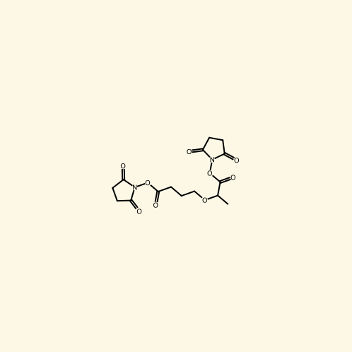 CC(OCCCC(=O)ON1C(=O)CCC1=O)C(=O)ON1C(=O)CCC1=O